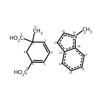 CC1(C(=O)O)C=CC=C(C(=O)O)C1.Cn1ccc2ccccc21